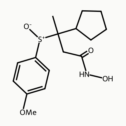 COc1ccc([S+]([O-])C(C)(CC(=O)NO)C2CCCC2)cc1